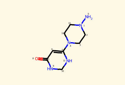 NN1CCN(C2=CC(=O)NCN2)CC1